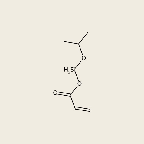 C=CC(=O)O[SiH2]OC(C)C